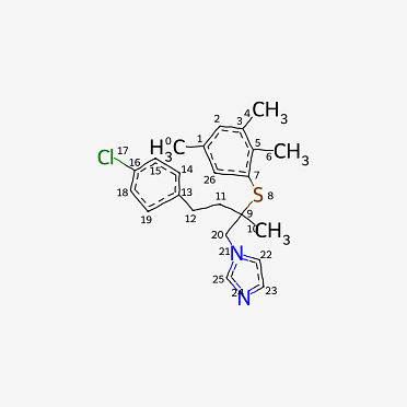 Cc1cc(C)c(C)c(SC(C)(CCc2ccc(Cl)cc2)Cn2ccnc2)c1